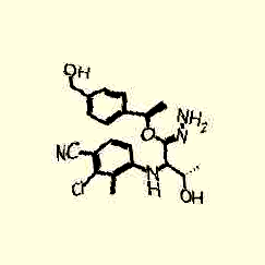 C=C(O/C(=N\N)C(Nc1ccc(C#N)c(Cl)c1C)[C@H](C)O)c1ccc(CO)cc1